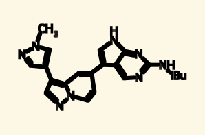 CC[C@H](C)Nc1ncc2c(-c3ccn4ncc(-c5cnn(C)c5)c4c3)c[nH]c2n1